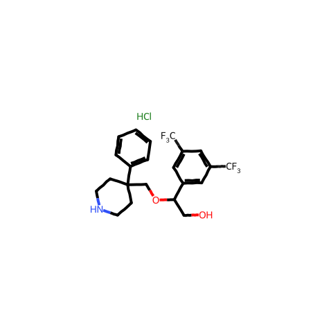 Cl.OCC(OCC1(c2ccccc2)CCNCC1)c1cc(C(F)(F)F)cc(C(F)(F)F)c1